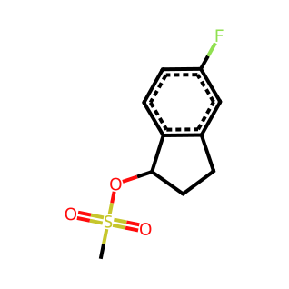 CS(=O)(=O)OC1CCc2cc(F)ccc21